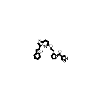 O=C(c1cnoc1)N1CCC[C@H]1CCOc1ccc2ncc(-c3cc4ccccc4o3)n2n1